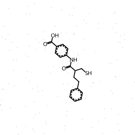 O=C(O)c1ccc(NC(=O)C(CS)CCc2ccccc2)cc1